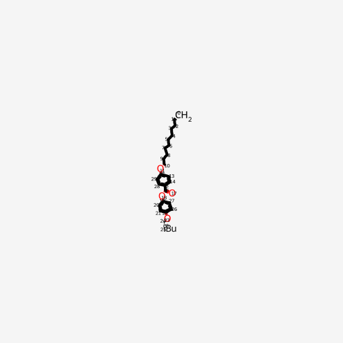 C=CCCCCCCCCCOc1ccc(C(=O)Oc2ccc(OC[C@@H](C)CC)cc2)cc1